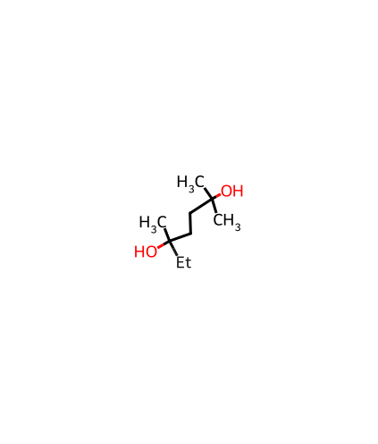 [CH2]CC(C)(O)CCC(C)(C)O